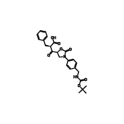 CC(C)(C)OC(=O)NCc1ccc(N2CC(C(=O)[C@@H](Cc3ccccc3)C(=O)O)OC2=O)cc1